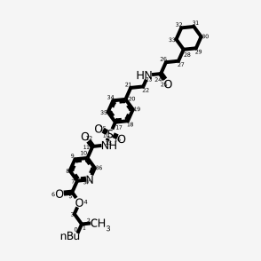 CCCCC(C)COC(=O)c1ccc(C(=O)NS(=O)(=O)c2ccc(CCNC(=O)CCC3CCCCC3)cc2)cn1